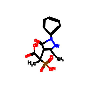 Cc1[nH]n(-c2ccccc2)c(=O)c1C(C)(C(=O)O)S(=O)(=O)O